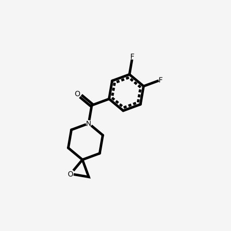 O=C(c1ccc(F)c(F)c1)N1CCC2(CC1)CO2